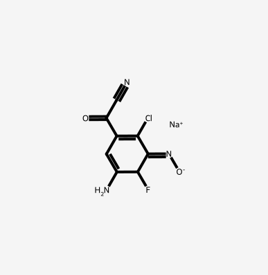 N#CC(=O)C1=C(Cl)C(=N[O-])C(F)C(N)=C1.[Na+]